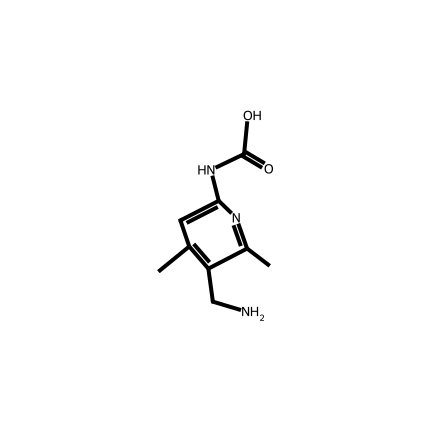 Cc1cc(NC(=O)O)nc(C)c1CN